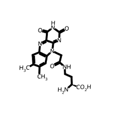 Cc1cc2nc3c(=O)[nH]c(=O)nc-3n(CC(=O)NCC[C@H](N)C(=O)O)c2cc1C